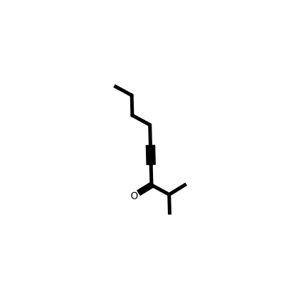 CCCCC#CC(=O)C(C)C